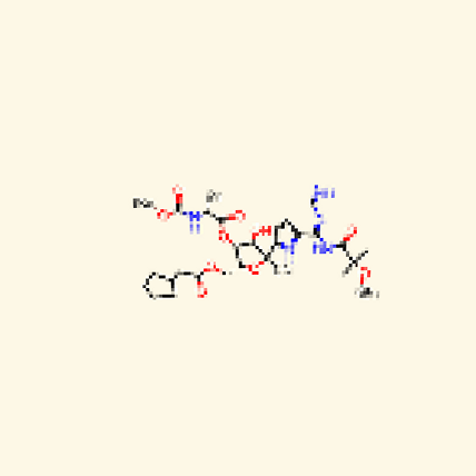 CCCCOC(C)(C)C(=O)N/C(=N/C=N)c1ccc([C@]2(C#N)O[C@H](COC(=O)CC3CCCC3)[C@@H](OC(=O)[C@H](NC(=O)OC(C)(C)C)C(C)C)[C@H]2O)[nH]1